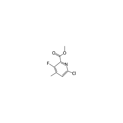 COC(=O)c1nc(Cl)cc(C)c1F